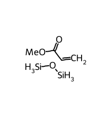 C=CC(=O)OC.[SiH3]O[SiH3]